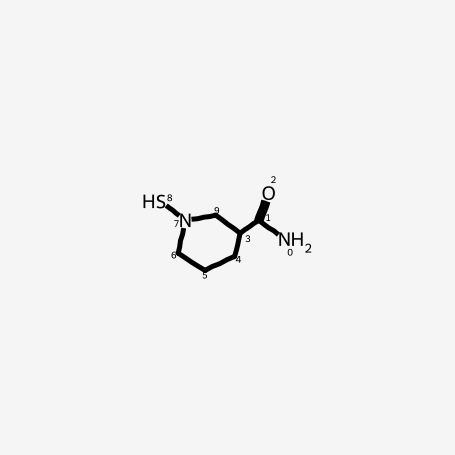 NC(=O)C1CCCN(S)C1